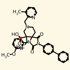 CCC1(C(=O)O)CN(Cc2ncccc2C)CCC12C(=O)N(c1ccc(-c3ccccc3)cc1)C(=O)N2c1nccc(OC)n1